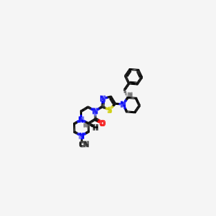 N#CN1CCN2CCN(c3ncc(N4CCCC[C@H]4Cc4ccccc4)s3)C(=O)[C@@H]2C1